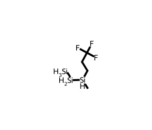 C[SiH](CCC(F)(F)F)[SiH2][SiH3]